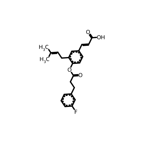 CC(C)=CCc1cc(/C=C/C(=O)O)ccc1OC(=O)CCc1cccc(F)c1